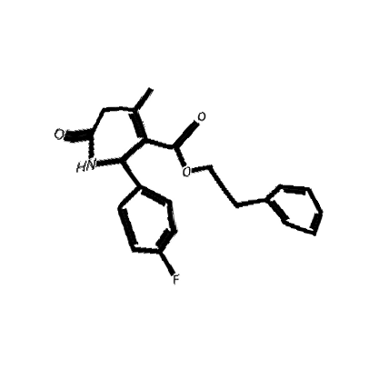 CC1=C(C(=O)OCCc2ccccc2)C(c2ccc(F)cc2)NC(=O)C1